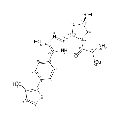 Cc1ncsc1-c1ccc(-c2cnc([C@@H]3C[C@@H](O)CN3C(=O)C(N)C(C)(C)C)[nH]2)cc1.Cl